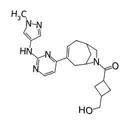 Cn1cc(Nc2nccc(C3=CCC4CC(C3)N(C(=O)C3CC(CO)C3)C4)n2)cn1